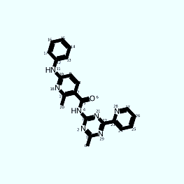 Cc1nc(NC(=O)c2ccc(Nc3ccccc3)nc2C)nc(-c2ccccn2)n1